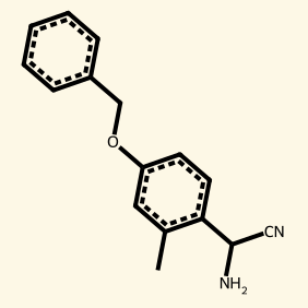 Cc1cc(OCc2ccccc2)ccc1C(N)C#N